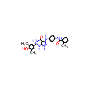 Cc1ccccc1C(=O)Nc1ccc(Nc2n[nH]c(NCc3cc(C)c(O)c(C)c3)c2C(N)=O)cc1